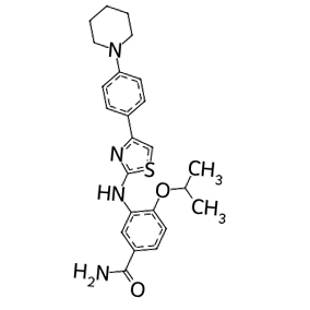 CC(C)Oc1ccc(C(N)=O)cc1Nc1nc(-c2ccc(N3CCCCC3)cc2)cs1